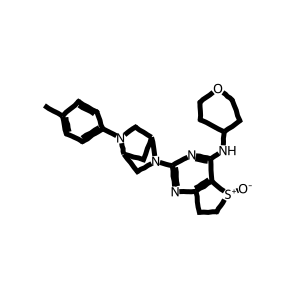 Cc1ccc(N2CC3CC2CN3c2nc3c(c(NC4CCOCC4)n2)[S+]([O-])CC3)cc1